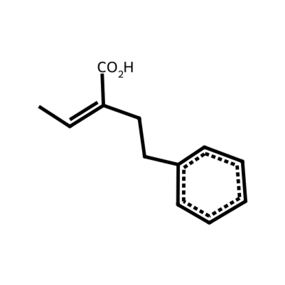 CC=C(CCc1ccccc1)C(=O)O